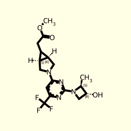 COC(=O)CC1[C@H]2CN(c3cc(C(F)(F)F)nc(N4C[C@@H](O)[C@@H]4C)n3)C[C@@H]12